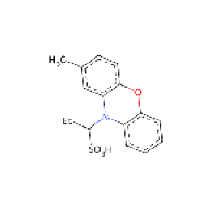 CCC(N1c2ccccc2Oc2ccc(C)cc21)S(=O)(=O)O